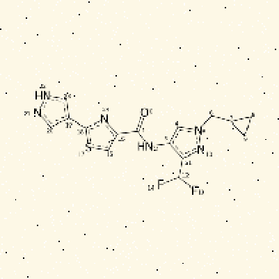 O=C(Nc1cn(CC2CC2)nc1C(F)F)c1csc(-c2cn[nH]c2)n1